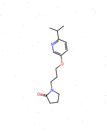 CC(C)c1ccc(OCCCN2CCCC2=O)cn1